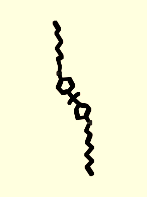 C=CCCCC=CCOc1ccc(C(C)(C)c2ccc(OCC=CCCCC=C)cc2)cc1